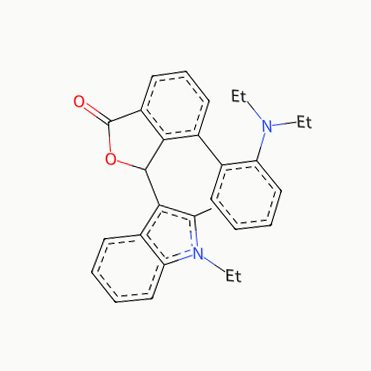 CCN(CC)c1ccccc1-c1cccc2c1C(c1c(C)n(CC)c3ccccc13)OC2=O